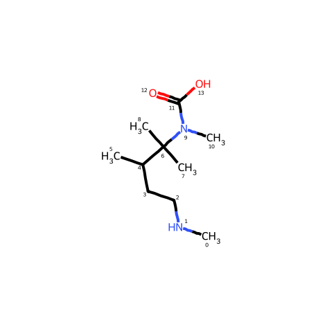 CNCCC(C)C(C)(C)N(C)C(=O)O